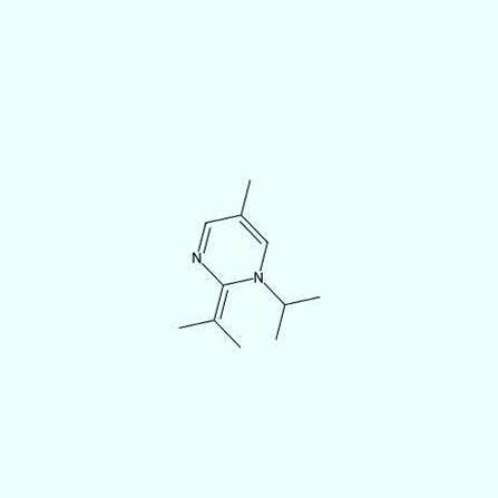 CC1=CN(C(C)C)C(=C(C)C)N=C1